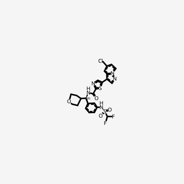 O=C(N[C@@H](c1cccc(NS(=O)(=O)C(F)F)c1)C1CCOCC1)c1ncc(-c2cnn3ccc(Cl)cc23)s1